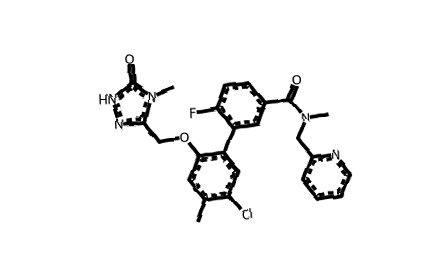 Cc1cc(OCc2n[nH]c(=O)n2C)c(-c2cc(C(=O)N(C)Cc3ccccn3)ccc2F)cc1Cl